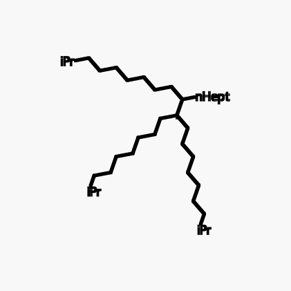 CCCCCCCC(CCCCCCCC(C)C)[C](CCCCCCCC(C)C)CCCCCCCC(C)C